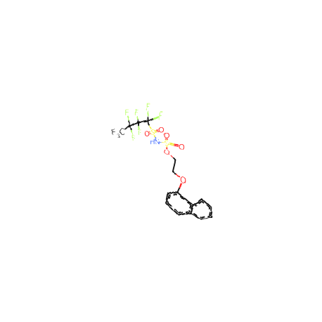 O=S(=O)(NS(=O)(=O)C(F)(F)C(F)(F)C(F)(F)C(F)(F)F)OCCOc1cccc2ccccc12